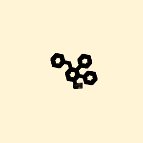 Oc1ccc(Cc2ccccc2)c(-c2ccccc2)c1-c1ccccc1